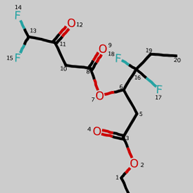 CCOC(=O)CC(OC(=O)CC(=O)C(F)F)C(F)(F)CC